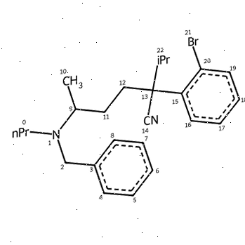 CCCN(Cc1ccccc1)C(C)CCC(C#N)(c1ccccc1Br)C(C)C